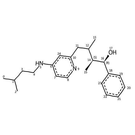 CC(C)CCNc1ccnc(CC(C)[C@H](C)[C@@H](O)c2ccccc2)c1